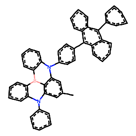 Cc1cc2c3c(c1)N(c1ccc(-c4c5ccccc5c(-c5ccccc5)c5ccccc45)cc1)c1ccccc1B3c1ccccc1N2c1ccccc1